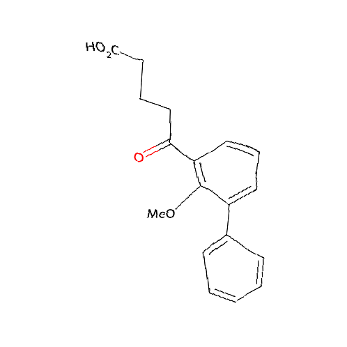 COc1c(C(=O)CCCC(=O)O)cccc1-c1ccccc1